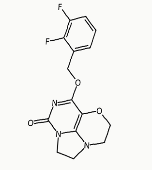 O=c1nc(OCc2cccc(F)c2F)c2c3n1CCN3CCO2